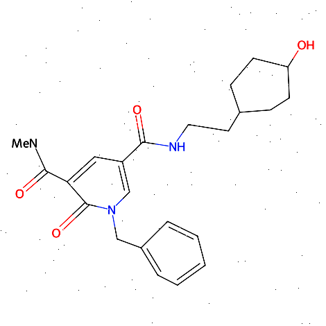 CNC(=O)c1cc(C(=O)NCCC2CCC(O)CC2)cn(Cc2ccccc2)c1=O